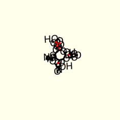 CON=C1C[C@@H](C)O[C@@H](O[C@@H]2[C@@H](C)[C@H](O[C@H]3C[C@@]4(C)OC(=O)O[C@H]4[C@H](C)O3)[C@@H](C)C(=O)O[C@H]([C@@H](C)CO[C@@H]3O[C@H](C)[C@@H](O)[C@@H](OC)[C@H]3OC)[C@H](C)[C@@H](OC(=O)CC(C)C)[C@@H](C)C(=O)[C@@](C)(OC(=O)n3ccnc3)C[C@@H]2C)[C@@H]1O